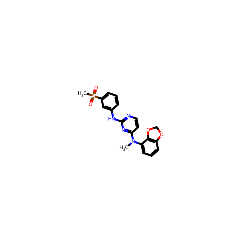 CN(c1ccnc(Nc2cccc(S(C)(=O)=O)c2)n1)c1cccc2c1OCO2